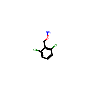 NOCc1c(Cl)cccc1Cl